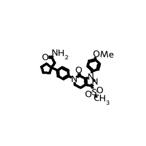 COc1ccc(-n2nc(S(C)(=O)=O)c3c2C(=O)N(c2ccc(C4(CC(N)=O)CCCC4)cc2)CC3)cc1